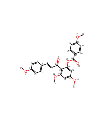 COc1ccc(C=CC(=O)c2c(OC)cc(OC)cc2OC(=O)c2ccc(OC)cc2)cc1